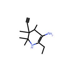 C#CC1(C)C(C)C(N)=C(CC)NC1(C)C